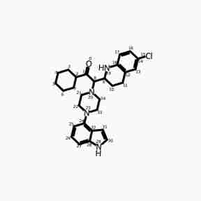 O=C(C1CCCCC1)C(C1CCc2cc(Cl)ccc2N1)N1CCN(c2cccc3[nH]ccc23)CC1